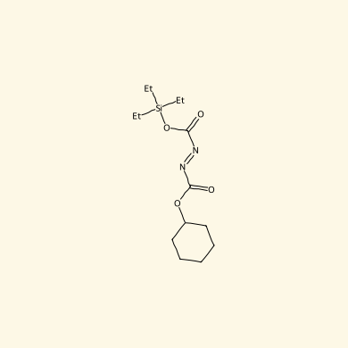 CC[Si](CC)(CC)OC(=O)N=NC(=O)OC1CCCCC1